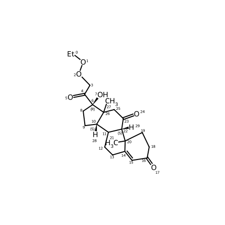 CCOOCC(=O)[C@@]1(O)CC[C@H]2C3CCC4=CC(=O)CCC4(C)[C@H]3C(=O)CC21C